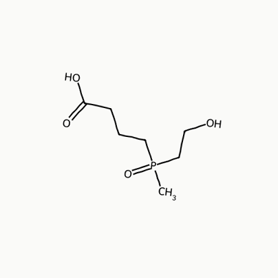 CP(=O)(CCO)CCCC(=O)O